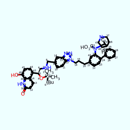 CC(C)(C)[Si](C)(C)O[C@H](CNCc1ccc2c(c1)nnn2CCCc1ccc(-c2ccccc2)c(N(C(=O)O)[C@H]2CN3CCC2CC3)c1)c1ccc(O)c2[nH]c(=O)ccc12